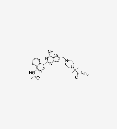 CC(=O)Nc1ncc(-c2nc(N)c3sc(CN4CCN(C(C)(C)C(N)=O)CC4)cc3n2)c2ccccc12